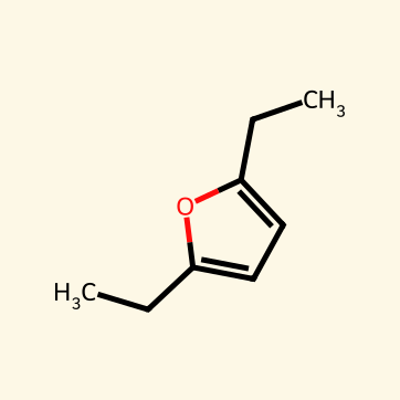 CCc1ccc(CC)o1